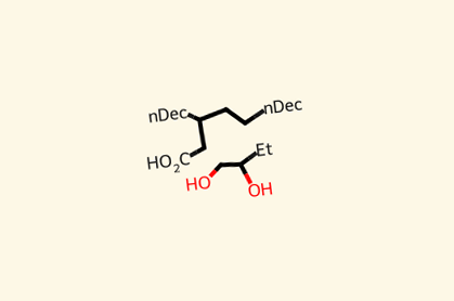 CCC(O)CO.CCCCCCCCCCCCC(CCCCCCCCCC)CC(=O)O